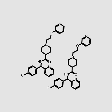 O=C(NC(c1ccc(Cl)cc1)c1ccccn1)C1CCN(CCOc2cccnc2)CC1.O=C(NC(c1ccc(Cl)cc1)c1ccccn1)C1CCN(CCOc2cccnc2)CC1